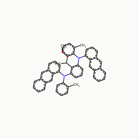 CCCC(C)c1c(N(c2ccccc2C)c2cccc3cc4ccccc4cc23)cccc1N(c1ccccc1C)c1cccc2cc3ccccc3cc12